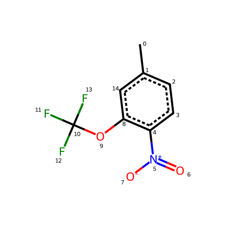 Cc1ccc([N+](=O)[O-])c(OC(F)(F)F)c1